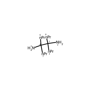 CCCC(N)(CCC)C(N)(CCC)CCC